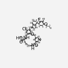 CCCOc1ccc(-c2cccc3c2CC[C@@H]3Cc2cc3c(cc2Cl)CNC(C(=O)O)CCCCNC(=O)c2cncc(c2)CO3)c(F)c1C